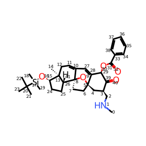 CNC[C@H]1C[C@@]23CC[C@@]4(O2)C(=CC[C@]2(C)[C@@H](O[Si](C)(C)C(C)(C)C)CC[C@H]24)C=C3[C@@H](OC(=O)c2ccccc2)C1=O